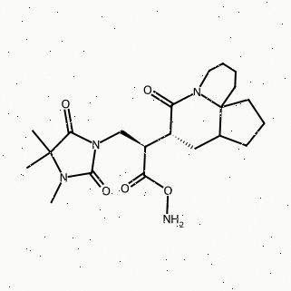 CN1C(=O)N(C[C@H](C(=O)ON)[C@H]2CC3CCCC34CCCCN4C2=O)C(=O)C1(C)C